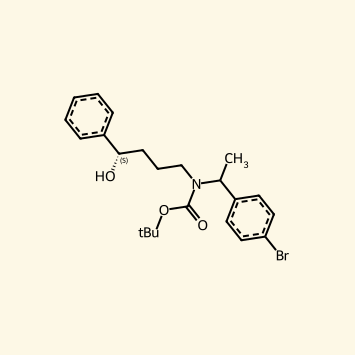 CC(c1ccc(Br)cc1)N(CCC[C@H](O)c1ccccc1)C(=O)OC(C)(C)C